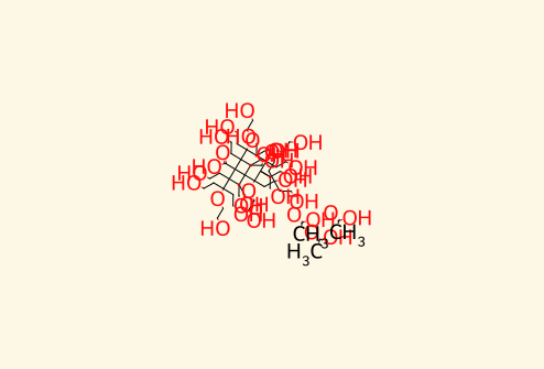 CC(=O)O.CC(=O)O.CC(=O)O.O=C(O)C(C(CCO)(CCO)C(CCO)(CCO)OCCO)(C(CCO)(CCO)C(CCO)(CCO)OCCO)C(CCO)(CCO)C(CC(O)(CCO)CCO)(OCCO)C(CCO)(CCO)C(CCO)(CCO)OCCO